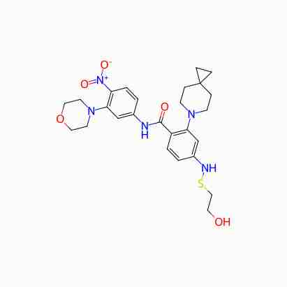 O=C(Nc1ccc([N+](=O)[O-])c(N2CCOCC2)c1)c1ccc(NSCCO)cc1N1CCC2(CC1)CC2